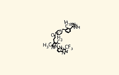 Cc1nn(-c2ccc3nnc(C(F)(F)F)n3n2)c(C)c1CCC(=O)N1CCN(Cc2cccc(-c3nnn[nH]3)c2C)CC1